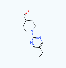 CCc1cnc(N2CCC(C=O)CC2)nc1